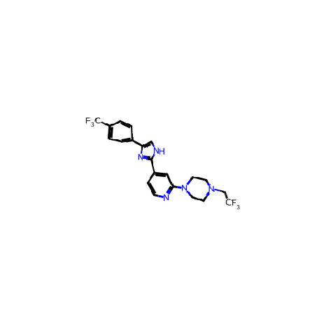 FC(F)(F)CN1CCN(c2cc(-c3nc(-c4ccc(C(F)(F)F)cc4)c[nH]3)ccn2)CC1